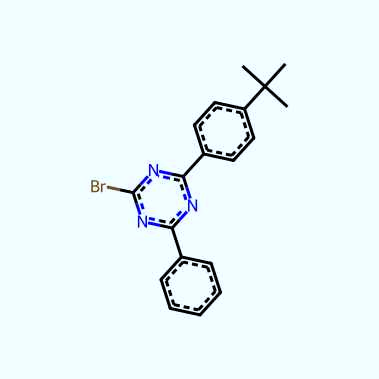 CC(C)(C)c1ccc(-c2nc(Br)nc(-c3ccccc3)n2)cc1